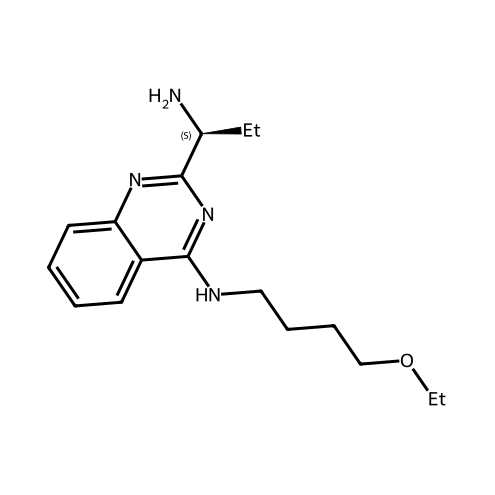 CCOCCCCNc1nc([C@@H](N)CC)nc2ccccc12